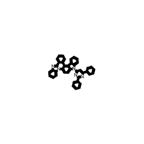 c1ccc(-c2cc(-n3c4ccccc4c4c5c6ccccc6c6nc7ccccc7n6c5ccc43)nc(-c3ccccc3)n2)cc1